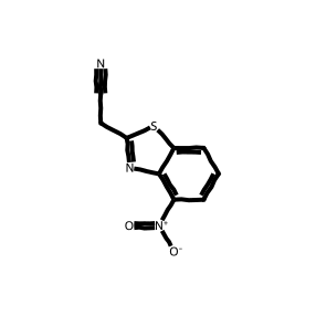 N#CCc1nc2c([N+](=O)[O-])cccc2s1